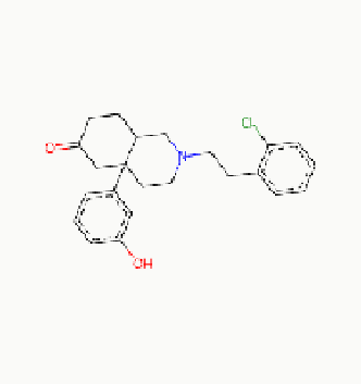 O=C1CCC2CN(CCc3ccccc3Cl)CCC2(c2cccc(O)c2)C1